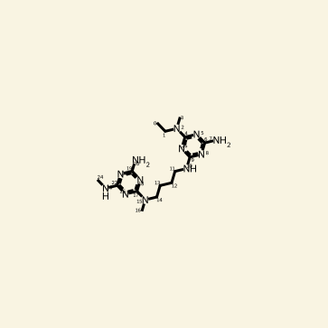 CCN(C)c1nc(N)nc(NCCCCN(C)c2nc(N)nc(NC)n2)n1